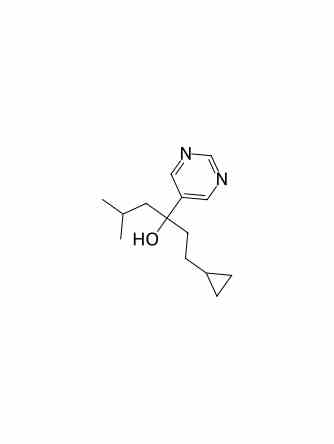 CC(C)CC(O)(CCC1CC1)c1cncnc1